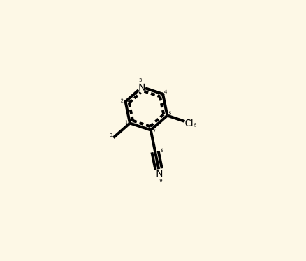 Cc1[c]ncc(Cl)c1C#N